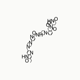 CCc1cc2ncc(CN3CCN(c4ccc(C(=O)NCC5CCN(c6cccc7c6CC(=O)N(C6CCC(=O)NC6=O)C7=O)CC5)nc4)CC3)cc2[nH]c1=O